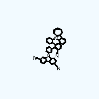 N#Cc1ccc2c(c1)c1ccc(C#N)cc1n2-c1cccc(-c2c(C#N)cccc2C2C=CC=CC2n2c3c(c4ccccc42)CC=CC=C3)c1